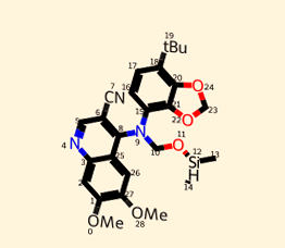 COc1cc2ncc(C#N)c(N(CO[SiH](C)C)c3ccc(C(C)(C)C)c4c3OCO4)c2cc1OC